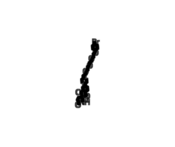 O=C1CCC(N2C(=O)c3ccc(N4CCN(CCOCCOCCOCCOc5ccc(Br)cc5)CC4)cc3C2=O)C(=O)N1